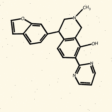 CN1Cc2c(ccc(-c3ncccn3)c2O)C(c2ccc3ccoc3c2)C1